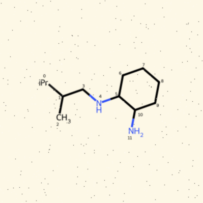 CC(C)C(C)CNC1CCCCC1N